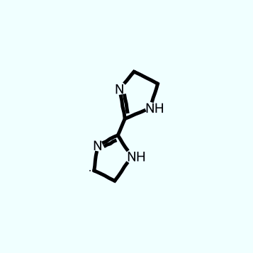 [CH]1CNC(C2=NCCN2)=N1